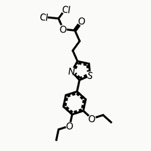 CCOc1ccc(-c2nc(CCC(=O)OC(Cl)Cl)cs2)cc1OCC